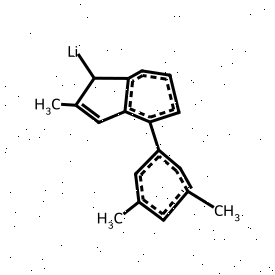 [Li][CH]1C(C)=Cc2c(-c3cc(C)cc(C)c3)cccc21